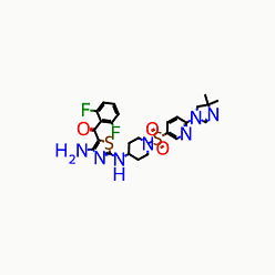 CC1(C)CN(c2ccc(S(=O)(=O)N3CCC(Nc4nc(N)c(C(=O)c5c(F)cccc5F)s4)CC3)cn2)C=N1